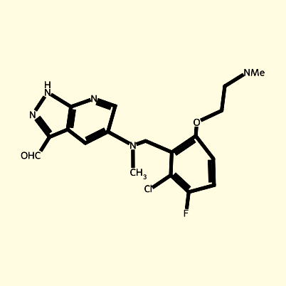 CNCCOc1ccc(F)c(Cl)c1CN(C)c1cnc2[nH]nc(C=O)c2c1